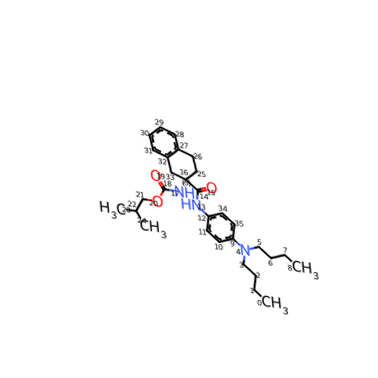 CCCCN(CCCC)c1ccc(NC(=O)[C@]2(NC(=O)OCC(C)C)CCc3ccccc3C2)cc1